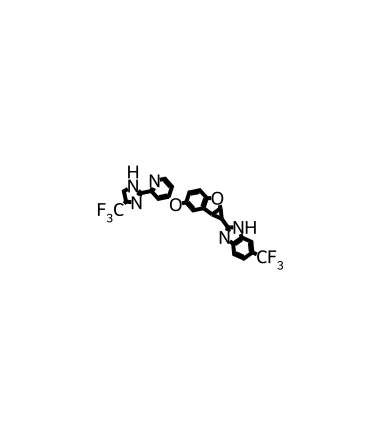 FC(F)(F)c1ccc2nc(C3C4Oc5ccc(Oc6ccnc(C7=NC(C(F)(F)F)CN7)c6)cc5C43)[nH]c2c1